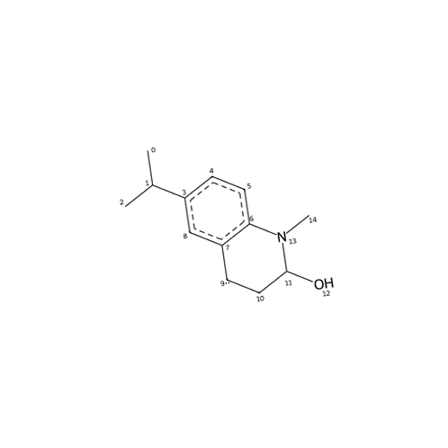 CC(C)c1ccc2c(c1)[C]CC(O)N2C